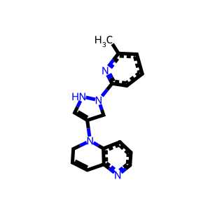 Cc1cccc(N2CC(N3CC=Cc4ncccc43)=CN2)n1